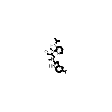 CC(C)Nc1cccnc1N(C)C(C=O)CN(C)c1cc2cc(F)ccc2[nH]1